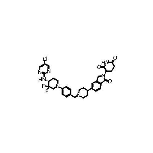 O=C1CCC(N2Cc3cc(C4CCN(Cc5ccc(N6CC[C@@H](Nc7ncc(Cl)cn7)C(F)(F)C6)cc5)CC4)ccc3C2=O)C(=O)N1